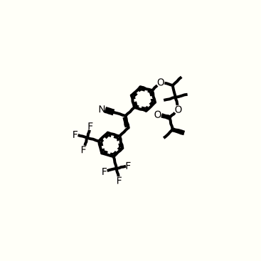 C=C(C)C(=O)OC(C)(C)C(C)Oc1ccc(/C(C#N)=C/c2cc(C(F)(F)F)cc(C(F)(F)F)c2)cc1